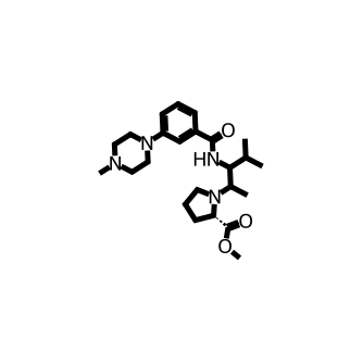 COC(=O)[C@@H]1CCCN1C(C)C(NC(=O)c1cccc(N2CCN(C)CC2)c1)C(C)C